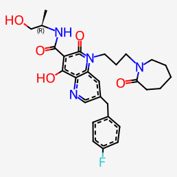 C[C@H](CO)NC(=O)c1c(O)c2ncc(Cc3ccc(F)cc3)cc2n(CCCN2CCCCCC2=O)c1=O